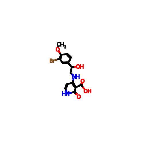 COc1ccc(C(O)CNc2cc[nH]c(=O)c2C(=O)O)cc1Br